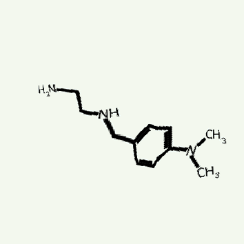 CN(C)c1ccc(CNCCN)cc1